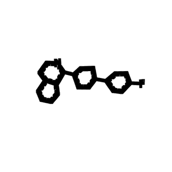 Fc1ccc(-c2ccc(-c3nccc4ccccc34)cc2)cc1